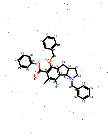 Cc1c(F)c2c(c(OCc3ccccc3)c1C(=O)Oc1ccccc1)CC1CCN(Cc3ccccc3)C21